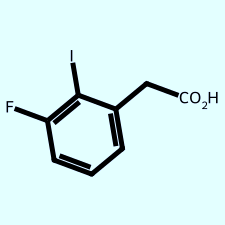 O=C(O)Cc1cccc(F)c1I